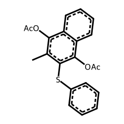 CC(=O)Oc1c(C)c(Sc2ccccc2)c(OC(C)=O)c2ccccc12